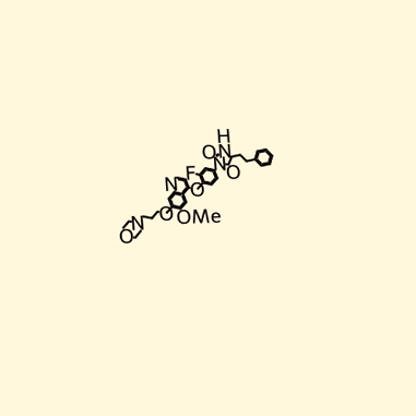 COc1cc2c(Oc3ccc(N4C(=O)NC(CCc5ccccc5)C4=O)cc3F)ccnc2cc1OCCCN1CCOCC1